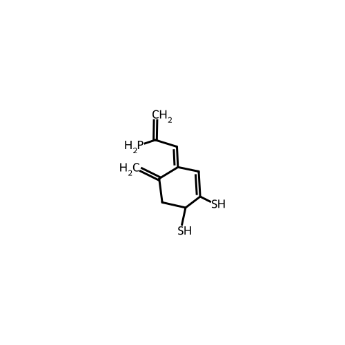 C=C(P)/C=C1/C=C(S)C(S)CC1=C